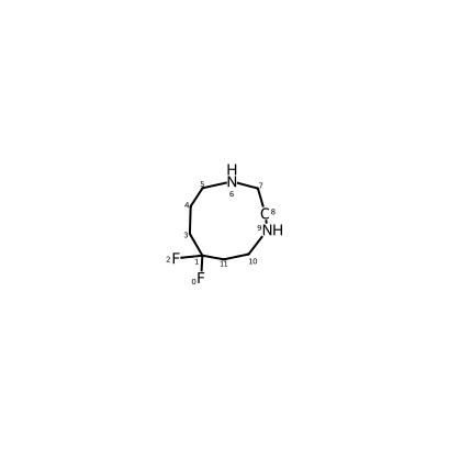 FC1(F)CCCNCCNCC1